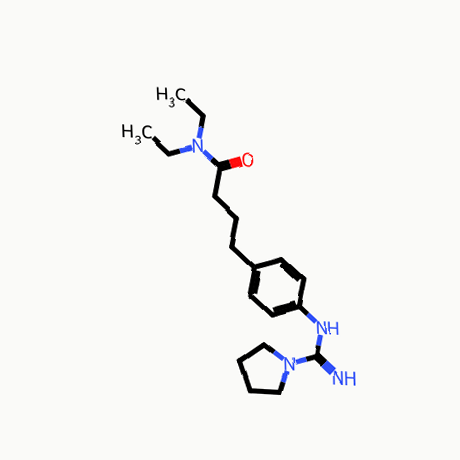 CCN(CC)C(=O)CCCc1ccc(NC(=N)N2CCCC2)cc1